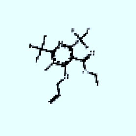 C=CCOc1c(C)c(C(F)(F)F)nc(C(F)(F)F)c1C(=O)OCC